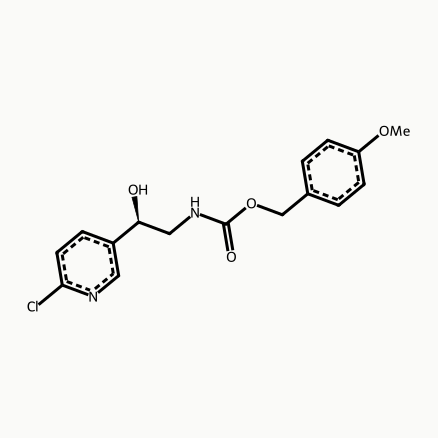 COc1ccc(COC(=O)NC[C@H](O)c2ccc(Cl)nc2)cc1